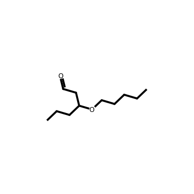 CCCCCOC(CC=O)CCC